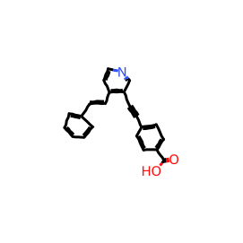 O=C(O)c1ccc(C#Cc2cnccc2/C=C/c2ccccc2)cc1